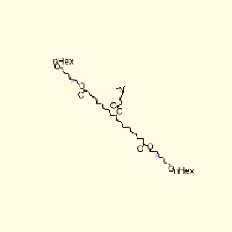 CCCCCCOCCC/C=C/COC(=O)CCCCCCCCC(CCCCCCCCC(=O)OC/C=C/CCCOCCCCCC)OC(=O)CCCN(C)C